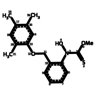 COC(=S)N(O)c1ccccc1COc1cc(C)c(C)cc1C